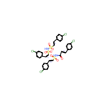 O=C(/C=C/c1ccc(Cl)cc1)NS(=O)(=O)/C=C/c1ccc(Cl)cc1.O=S(=O)(/C=C\c1ccc(Cl)cc1)NS(=O)(=O)/C=C/c1ccc(Cl)cc1